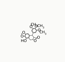 COc1cc(C2c3cc4c(c(O)c3CC3OC(=O)C32)OCO4)cc(OC)c1OC